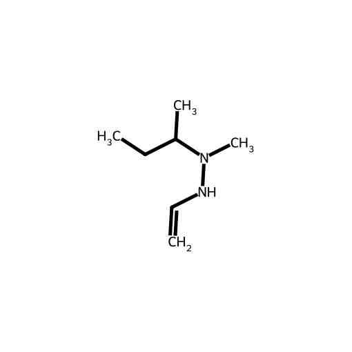 C=CNN(C)C(C)CC